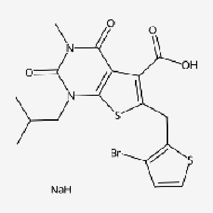 CC(C)Cn1c(=O)n(C)c(=O)c2c(C(=O)O)c(Cc3sccc3Br)sc21.[NaH]